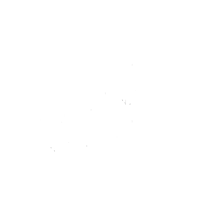 C=CC(=O)N1CCC(=Cc2nccs2)CC1